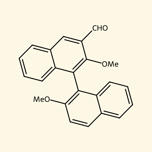 COc1ccc2ccccc2c1-c1c(OC)c(C=O)cc2ccccc12